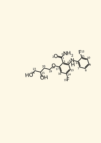 NC(=O)c1c(Nc2ccccc2F)cc(F)cc1OCCC(O)CO